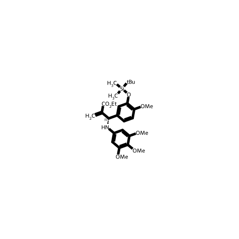 C=C(C(=O)OCC)[C@@H](Nc1cc(OC)c(OC)c(OC)c1)c1ccc(OC)c(O[Si](C)(C)C(C)(C)C)c1